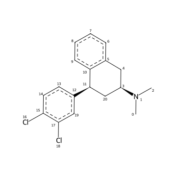 CN(C)[C@@H]1Cc2ccccc2[C@H](c2ccc(Cl)c(Cl)c2)C1